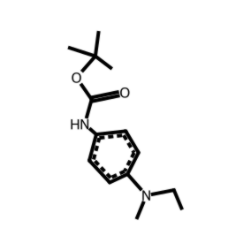 CCN(C)c1ccc(NC(=O)OC(C)(C)C)cc1